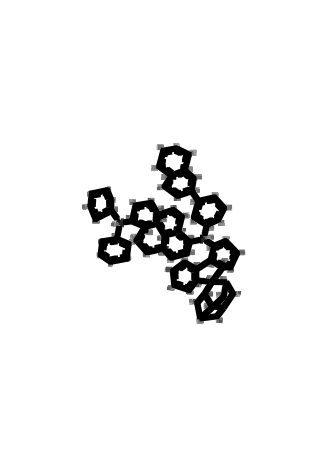 c1ccc(N(c2ccccc2)c2ccc3ccc4c(N(c5cccc(-c6ccc7ccccc7c6)c5)c5cccc6c5-c5ccccc5C65C6CC7CC(C6)CC5C7)ccc5ccc2c3c54)cc1